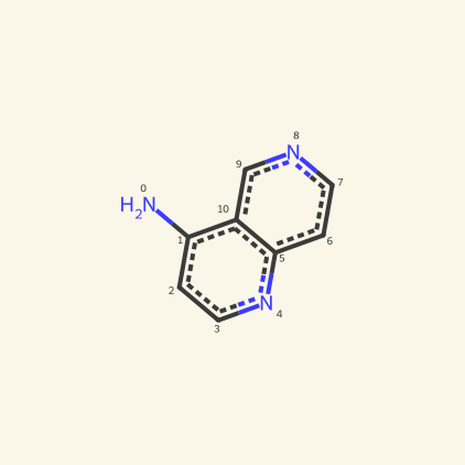 Nc1ccnc2ccncc12